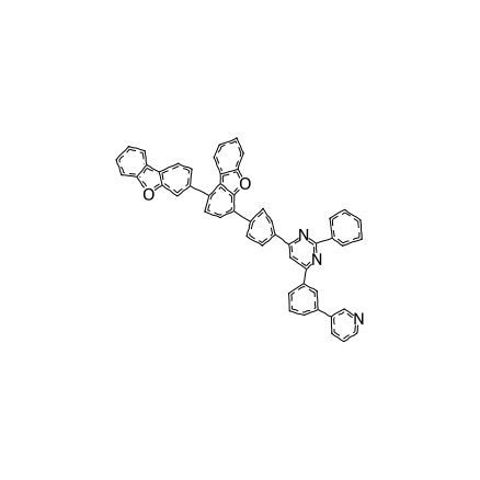 c1ccc(-c2nc(-c3ccc(-c4ccc(-c5ccc6c(c5)oc5ccccc56)c5c4oc4ccccc45)cc3)cc(-c3cccc(-c4cccnc4)c3)n2)cc1